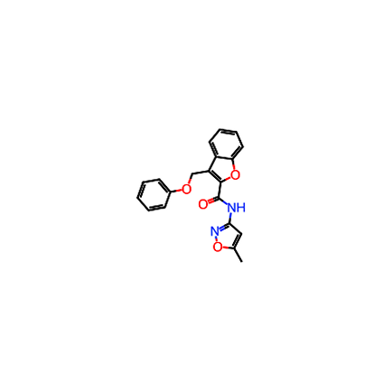 Cc1cc(NC(=O)c2oc3ccccc3c2COc2ccccc2)no1